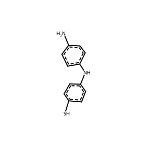 Nc1ccc(Nc2ccc(S)cc2)cc1